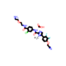 Cn1c(-c2ccc(OCC#N)c(F)c2F)cnc1C(=O)Nc1ccc(C(=O)NCCOCCN)c(Cl)c1.O=CO